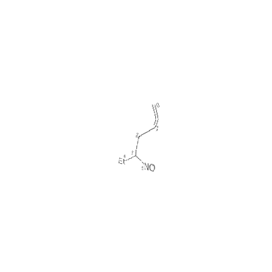 C=CCC(CC)N=O